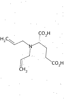 C=CCN(CC=C)[C@@H](CCC(=O)O)C(=O)O